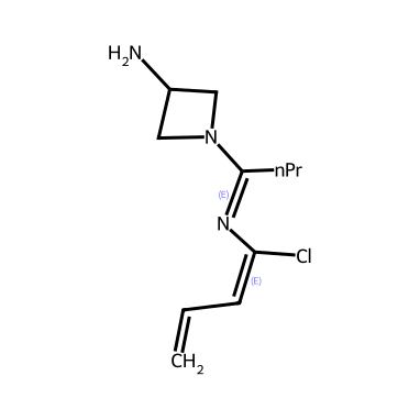 C=C/C=C(Cl)\N=C(/CCC)N1CC(N)C1